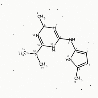 Cc1ccc(NC2=NC(C)N=C(N(C)C)N2)[nH]1